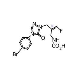 O=C(O)NC/C(=C\F)Cn1ncn(-c2ccc(Br)cc2)c1=O